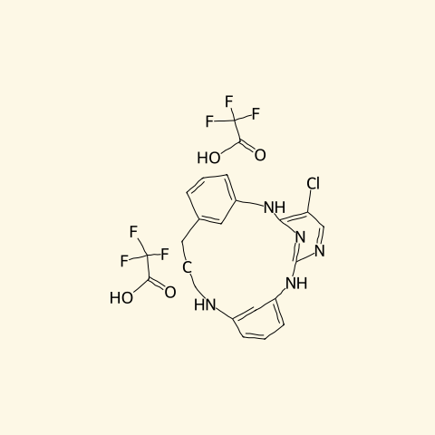 Clc1cnc2nc1Nc1cccc(c1)CCCNc1cccc(c1)N2.O=C(O)C(F)(F)F.O=C(O)C(F)(F)F